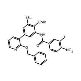 COc1c(NC(=O)c2ccc([N+](=O)[O-])c(F)c2)cc(-c2cccnc2OCc2ccccc2)cc1C(C)(C)C